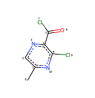 Cc1cnc(C(=O)Cl)c(Cl)n1